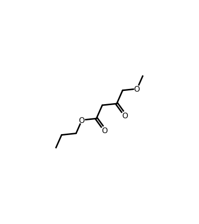 CCCOC(=O)CC(=O)COC